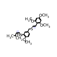 C=C(C)/C=C\Nc1cc(CS/C=C/c2c(OC)cc(OC)cc2OC)ccc1OC